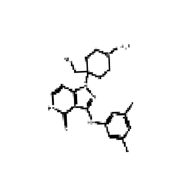 Cc1cc(C)cc(Nc2nn(C3(CC#N)CCN(C(=O)O)CC3)c3cc[nH]c(=O)c23)c1